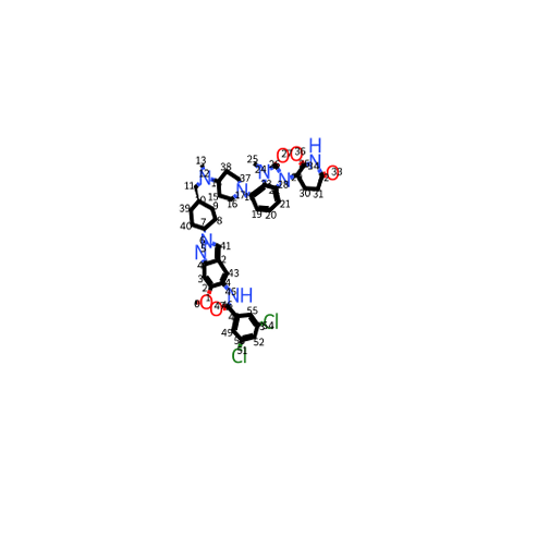 COc1cc2nn([C@H]3CC[C@H](CN(C)C4CCN(c5cccc6c5n(C)c(=O)n6C5CCC(=O)NC5=O)CC4)CC3)cc2cc1NC(=O)c1cc(Cl)cc(Cl)c1